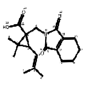 CC(C)=CC1C(C)(C)C1(CN1C(=O)C2=C(CCCC2)C1=O)C(=O)O